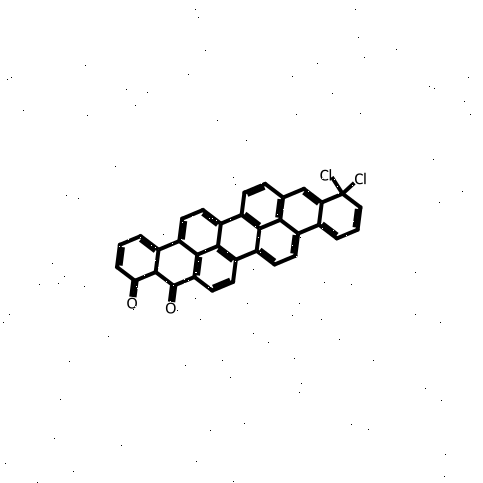 O=C1C=CC=C2c3ccc4c5ccc6cc7c(c8ccc(c9ccc(c3c49)C(=O)C12)c5c68)=CC=CC7(Cl)Cl